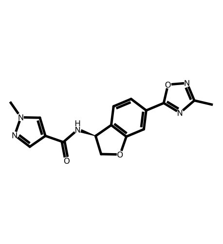 Cc1noc(-c2ccc3c(c2)OC[C@H]3NC(=O)c2cnn(C)c2)n1